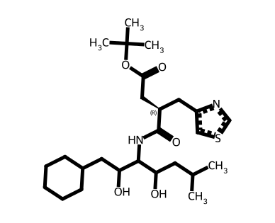 CC(C)CC(O)C(NC(=O)[C@@H](CC(=O)OC(C)(C)C)Cc1cscn1)C(O)CC1CCCCC1